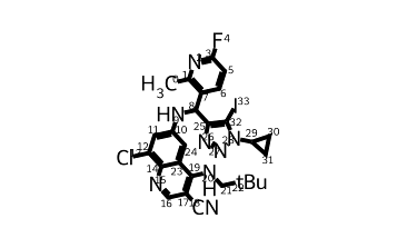 Cc1nc(F)ccc1C(Nc1cc(Cl)c2ncc(C#N)c(NCC(C)(C)C)c2c1)c1nnn(C2CC2)c1I